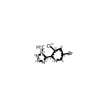 Cn1nnnc1-c1ncc(Br)cc1Cl